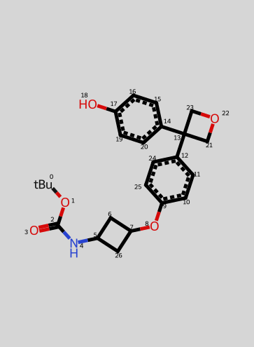 CC(C)(C)OC(=O)NC1CC(Oc2ccc(C3(c4ccc(O)cc4)COC3)cc2)C1